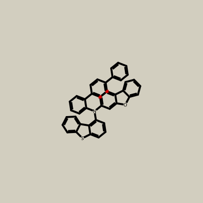 c1ccc(-c2ccc(-c3ccccc3N(c3ccc4c(c3)oc3ccccc34)c3cccc4sc5ccccc5c34)cc2)cc1